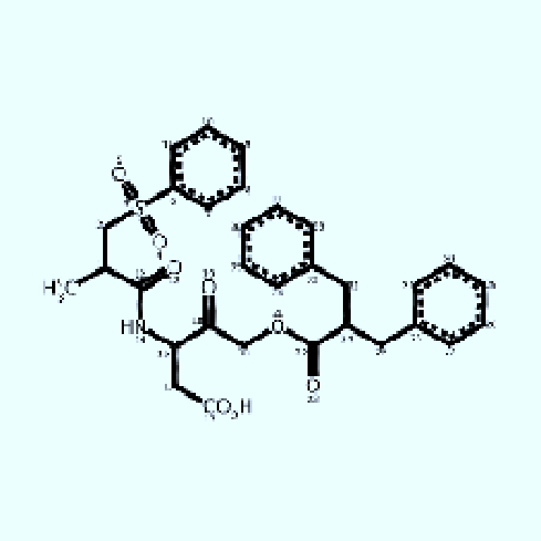 CC(CS(=O)(=O)c1ccccc1)C(=O)NC(CC(=O)O)C(=O)COC(=O)C(Cc1ccccc1)Cc1ccccc1